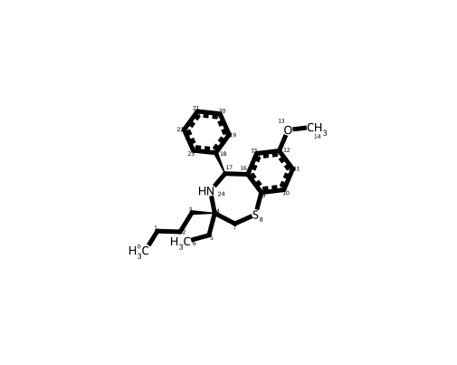 CCCC[C@]1(CC)CSc2ccc(OC)cc2[C@H](c2ccccc2)N1